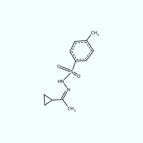 CC(=NNS(=O)(=O)c1ccc(C)cc1)C1CC1